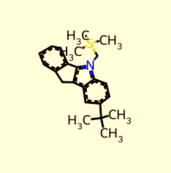 CC(C)(C)c1ccc2c(c1)c1c(n2CS(C)(C)C)-c2ccccc2C1